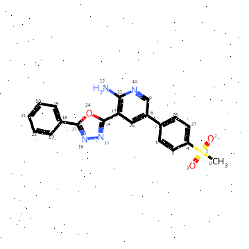 CS(=O)(=O)c1ccc(-c2cnc(N)c(-c3nnc(-c4ccccc4)o3)c2)cc1